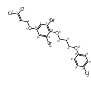 ClC(Cl)=CCOc1cc(Br)c(OCCCOc2ccc(Cl)cc2)c(Br)c1